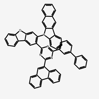 c1ccc(-c2cccc(-c3nc(-c4cc5c(cc4-n4c6ccccc6c6cc7ccccc7cc64)oc4ccccc45)nc(-c4cc5ccccc5c5ccccc45)n3)c2)cc1